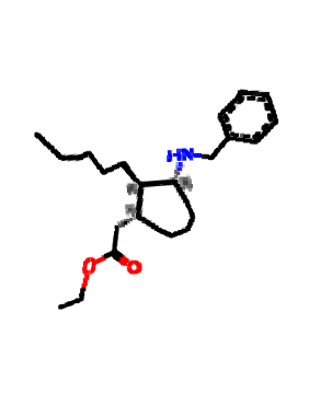 CCCCC[C@@H]1[C@@H](CC(=O)OCC)CC[C@H]1NCc1ccccc1